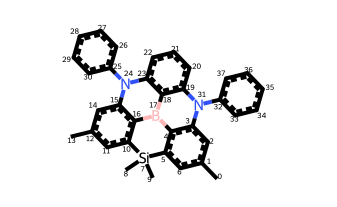 Cc1cc2c3c(c1)[Si](C)(C)c1cc(C)cc4c1B3c1c(cccc1N4c1ccccc1)N2c1ccccc1